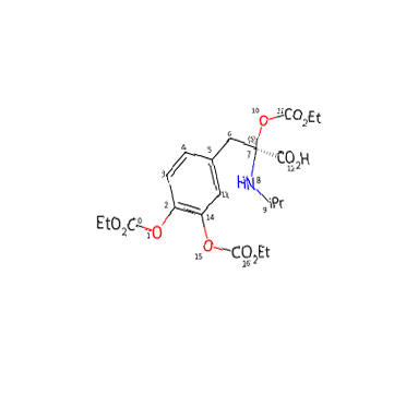 CCOC(=O)Oc1ccc(C[C@](NC(C)C)(OC(=O)OCC)C(=O)O)cc1OC(=O)OCC